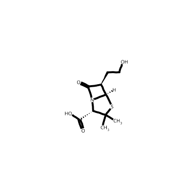 CC1(C)S[C@@H]2[C@H](CCO)C(=O)N2[C@H]1C(=O)O